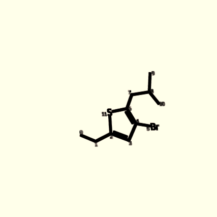 CCc1cc(Br)c(CC(C)C)s1